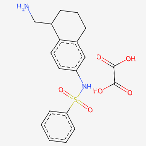 NCC1CCCc2cc(NS(=O)(=O)c3ccccc3)ccc21.O=C(O)C(=O)O